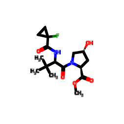 COC(=O)[C@@H]1C[C@@H](O)CN1C(=O)C(NC(=O)C1(F)CC1)C(C)(C)C